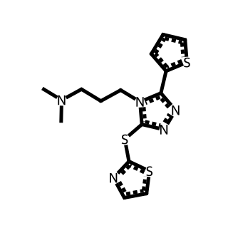 CN(C)CCCn1c(Sc2nccs2)nnc1-c1cccs1